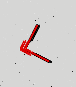 O.O.O.O.O.O.O.O.O.O.O.O.O.O.O.O.O.O.O.O.O.O.O.O.O.O.O.O.O.O.O.O.O.O.O.O.O.O.O.O.O.O.O.O.O.O.O.O.O.O.[Zn].[Zn].[Zn].[Zn].[Zn].[Zn].[Zn].[Zn].[Zn].[Zn].[Zn].[Zn].[Zn].[Zn].[Zn].[Zn].[Zn].[Zn].[Zn].[Zn].[Zn].[Zn].[Zn].[Zn].[Zn].[Zn].[Zn].[Zn].[Zn].[Zn].[Zn].[Zn].[Zn].[Zn].[Zn].[Zn].[Zn].[Zn].[Zn].[Zn].[Zn].[Zn].[Zn].[Zn].[Zn].[Zn].[Zn].[Zn].[Zn].[Zn].[Zn].[Zn].[Zn].[Zn].[Zn].[Zn].[Zn].[Zn].[Zn].[Zn].[Zn].[Zn].[Zn].[Zn].[Zn].[Zn].[Zn].[Zn].[Zn].[Zn].[Zn].[Zn].[Zn].[Zn].[Zn].[Zn].[Zn].[Zn].[Zn].[Zn].[Zn].[Zn].[Zn].[Zn].[Zn].[Zn].[Zn].[Zn].[Zn].[Zn].[Zn].[Zn].[Zn].[Zn].[Zn].[Zn].[Zn].[Zn].[Zn].[Zn]